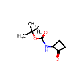 CC(C)(C)OC(=O)NC1CCC1=O